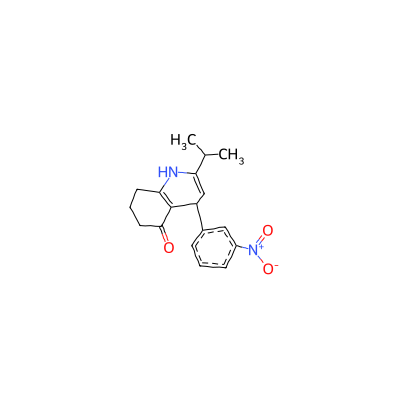 CC(C)C1=CC(c2cccc([N+](=O)[O-])c2)C2=C(CCCC2=O)N1